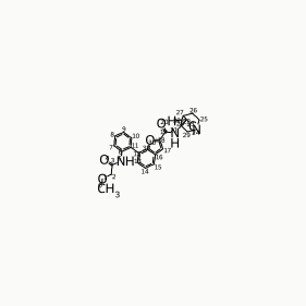 COCC(=O)Nc1ccccc1-c1cccc2cc(C(=O)N[C@H]3CN4CCC3CC4)oc12